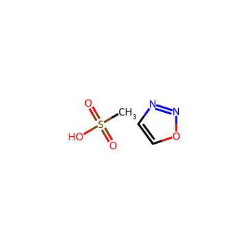 CS(=O)(=O)O.c1conn1